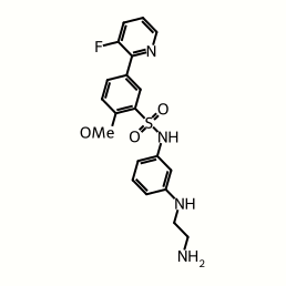 COc1ccc(-c2ncccc2F)cc1S(=O)(=O)Nc1cccc(NCCN)c1